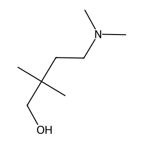 CN(C)CCC(C)(C)CO